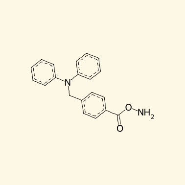 NOC(=O)c1ccc(CN(c2ccccc2)c2ccccc2)cc1